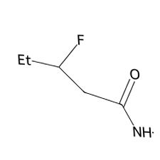 CCC(F)CC([NH])=O